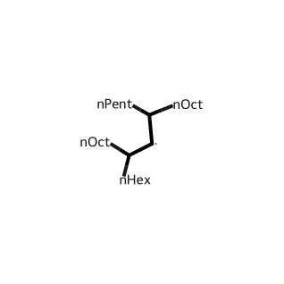 CCCCCCCCC([CH]C(CCCCCC)CCCCCCCC)CCCCC